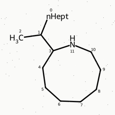 CCCCCCCC(C)C1CCCCCCCN1